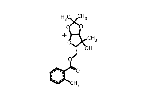 Cc1ccccc1C(=O)OC[C@@H]1O[C@H]2OC(C)(C)OC2C1(C)O